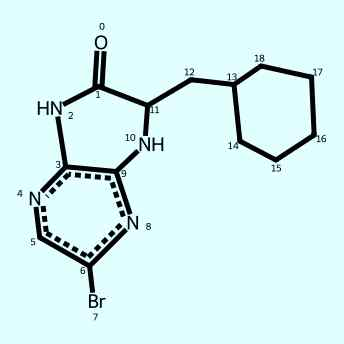 O=C1Nc2ncc(Br)nc2NC1CC1CCCCC1